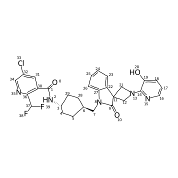 O=C(N[C@H]1CC[C@H](CN2C(=O)C3(CN(c4ncccc4O)C3)c3ccccc32)CC1)c1cc(Cl)cnc1C(F)F